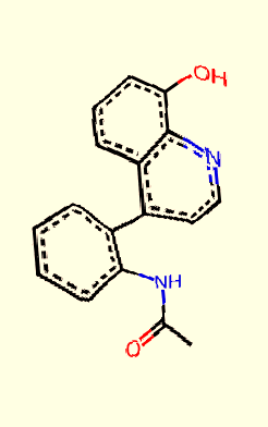 CC(=O)Nc1ccccc1-c1ccnc2c(O)cccc12